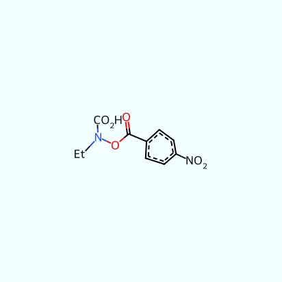 CCN(OC(=O)c1ccc([N+](=O)[O-])cc1)C(=O)O